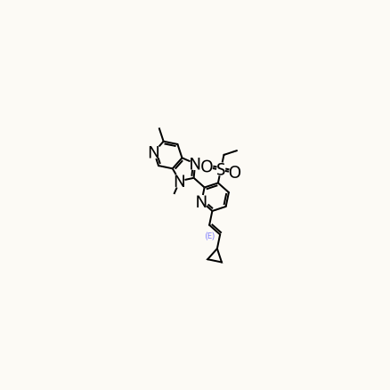 CCS(=O)(=O)c1ccc(/C=C/C2CC2)nc1-c1nc2cc(C)ncc2n1C